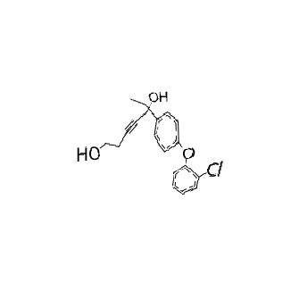 CC(O)(C#CCCO)c1ccc(Oc2ccccc2Cl)cc1